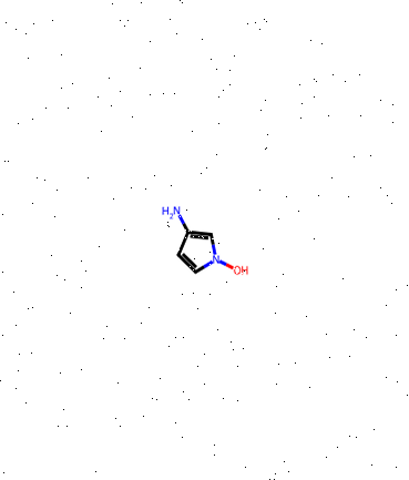 Nc1ccn(O)c1